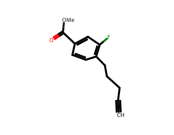 C#CCCCc1ccc(C(=O)OC)cc1F